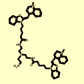 C[n+]1ccc(/C=C2\Sc3ccccc3N2CCCCC(=O)NCCN(CCN)CCNC(=O)CCCCN2/C(=C/c3cc[n+](C)c4ccccc34)Sc3ccccc32)c2ccccc21